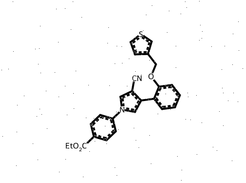 CCOC(=O)c1ccc(-n2cc(C#N)c(-c3ccccc3OCc3ccsc3)c2)cc1